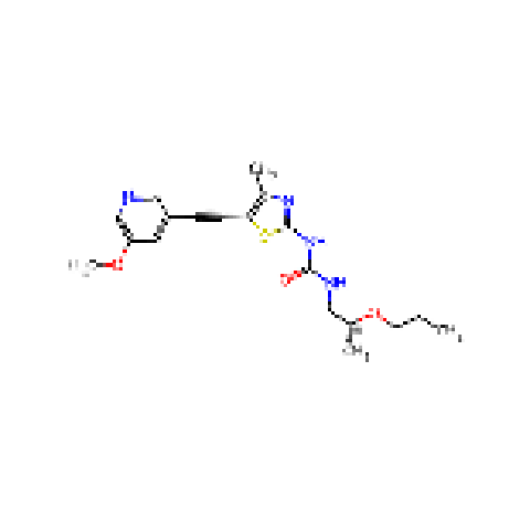 CCCO[C@@H](C)CNC(=O)Nc1nc(C)c(C#Cc2cncc(OC)c2)s1